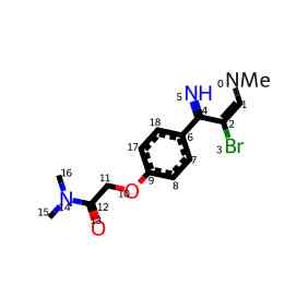 CN/C=C(/Br)C(=N)c1ccc(OCC(=O)N(C)C)cc1